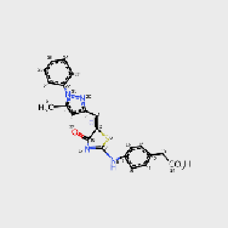 Cc1cc(/C=C2/SC(Nc3ccc(CC(=O)O)cc3)=NC2=O)nn1-c1ccccc1